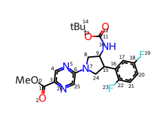 COC(=O)c1cnc(N2CC(NC(=O)OC(C)(C)C)C(c3cc(F)ccc3F)C2)cn1